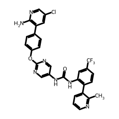 Cc1ncccc1-c1ccc(C(F)(F)F)cc1NC(=O)Nc1cnc(Oc2ccc(-c3cc(Cl)cnc3N)cc2)nc1